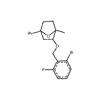 CC(C)C12CCC(C)(O1)C(OCc1c(F)cccc1Br)C2